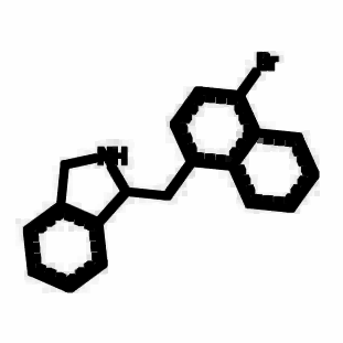 Brc1ccc(CC2NCc3ccccc32)c2ccccc12